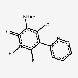 CCc1c(-c2cccnn2)c(CC)n(CC)c(=O)c1NC(C)=O